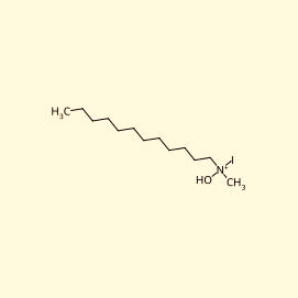 CCCCCCCCCCCC[N+](C)(O)I